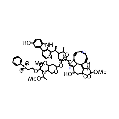 C=C(c1nccc2c1[nH]c1ccc(O)cc12)C1CC(OC2CC(OC)C(N(C(=O)OCCS(=O)(=O)c3ccccc3)C(C)OC)CO2)C(O[C@H]2C#C/C=C\C#CC3=C(NC(=O)OC)C(=O)C[C@H](O)/C(=C/CS(C)=S)C32)OC1C